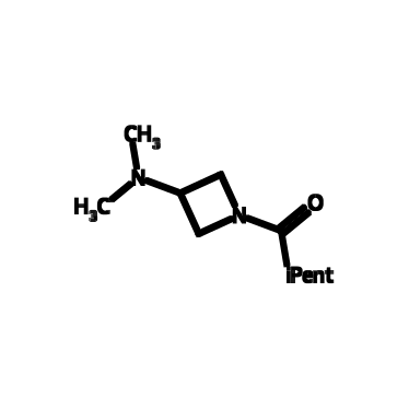 CCCC(C)C(=O)N1CC(N(C)C)C1